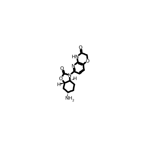 N[C@H]1CC[C@H]2[C@H](C1)OC(=O)N2c1ccc2c(n1)NC(=O)CO2